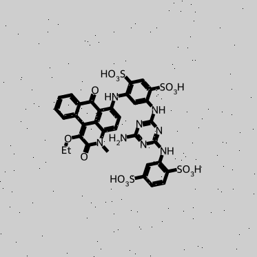 CCOc1c2c3c(c(Nc4cc(Nc5nc(N)nc(Nc6cc(S(=O)(=O)O)ccc6S(=O)(=O)O)n5)c(S(=O)(=O)O)cc4S(=O)(=O)O)ccc3n(C)c1=O)C(=O)c1ccccc1-2